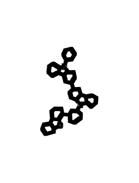 C1=CCC(N2c3ccccc3C3C=C(c4ccc5c(c4)c4ccccc4n5-c4ccccc4)C=CC32)=CC(c2cccc3c2oc2ccccc23)=C1